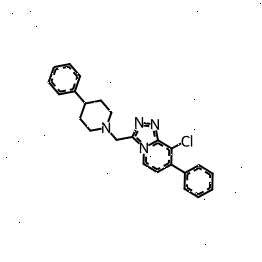 Clc1c(-c2ccccc2)ccn2c(CN3CCC(c4ccccc4)CC3)nnc12